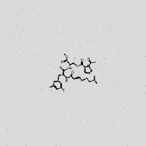 COC(=O)[C@@H](NC(=O)[C@H](Cc1cc(F)cc(F)c1)NC(=O)/C=C/CCCC(C)C)[C@H](C)OC(=O)C1CCCN1C(C)=O